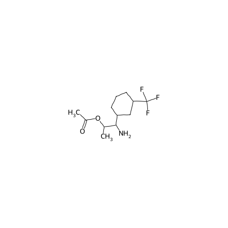 CC(=O)OC(C)C(N)C1CCCC(C(F)(F)F)C1